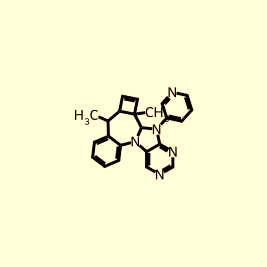 CC1c2ccccc2N2c3cncnc3N(c3cccnc3)C2C2(C)C=CC12